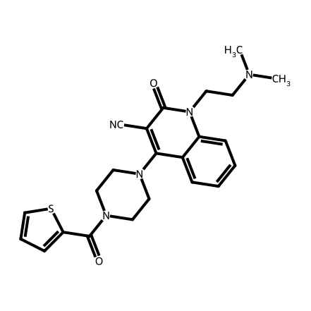 CN(C)CCn1c(=O)c(C#N)c(N2CCN(C(=O)c3cccs3)CC2)c2ccccc21